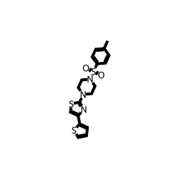 Cc1ccc(S(=O)(=O)N2CCN(c3nc(-c4cccs4)cs3)CC2)cc1